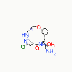 NC[C@@H](O)[C@@H]1Cc2cccc(c2)OC/C=C/CNc2cc(cc(Cl)n2)C(=O)N1